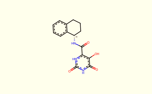 O=C(N[C@H]1CCCc2ccccc21)c1[nH]c(=O)[nH]c(=O)c1O